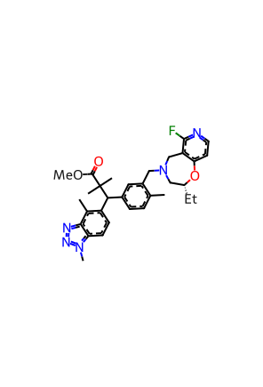 CC[C@@H]1CN(Cc2cc(C(c3ccc4c(nnn4C)c3C)C(C)(C)C(=O)OC)ccc2C)Cc2c(ccnc2F)O1